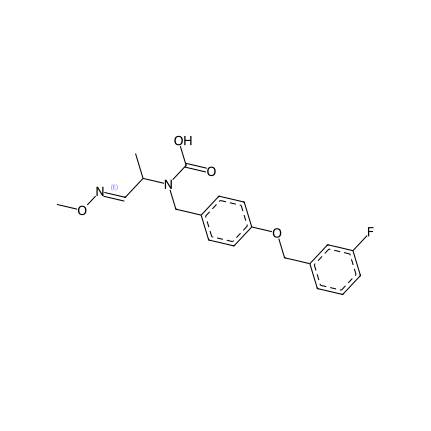 CO/N=C/C(C)N(Cc1ccc(OCc2cccc(F)c2)cc1)C(=O)O